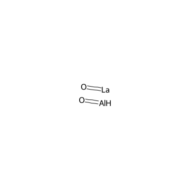 [O]=[AlH].[O]=[La]